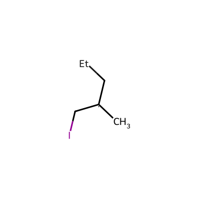 CCC[C](C)CI